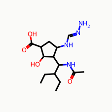 CCC(CC)C(NC(C)=O)C1C(NC=NN)CC(C(=O)O)C1O